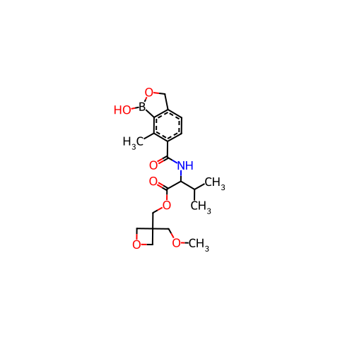 COCC1(COC(=O)C(NC(=O)c2ccc3c(c2C)B(O)OC3)C(C)C)COC1